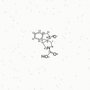 O=C(O)N1CCC2(CC1)c1ccccc1C[S+]2[O-]